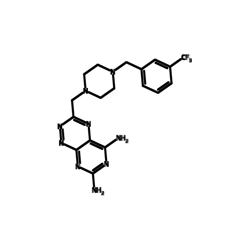 Nc1nc(N)c2nc(CN3CCN(Cc4cccc(C(F)(F)F)c4)CC3)nnc2n1